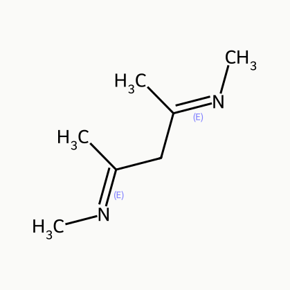 C/N=C(\C)C/C(C)=N/C